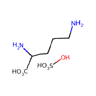 NCCCC(N)C(=O)O.O=S(=O)(O)O